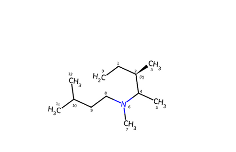 CC[C@@H](C)C(C)N(C)CCC(C)C